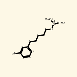 CO[SiH](OC)OCCCCCc1cccc(F)c1